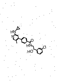 Cc1cnc(NC2CC2)cc1-c1ccc(C(=O)NC[C@@H](O)c2cccc(Cl)c2)cc1